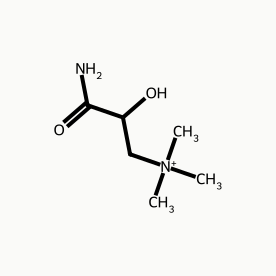 C[N+](C)(C)CC(O)C(N)=O